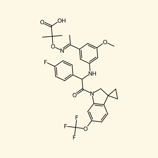 COc1cc(NC(C(=O)N2CC3(CC3)c3ccc(OC(F)(F)F)cc32)c2ccc(F)cc2)cc(C(C)=NOC(C)(C)C(=O)O)c1